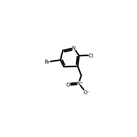 O=[N+]([O-])Cc1cc(Br)cnc1Cl